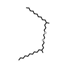 CCCCCCCCCCC(C)CCCOCCOCCCC(C)CCCCCCCCCC